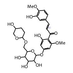 COc1ccc(/C=C/C(=O)c2c(O)cc(OC3OC(COC4CCC(O)CO4)C(O)C(O)C3O)cc2OC)cc1O